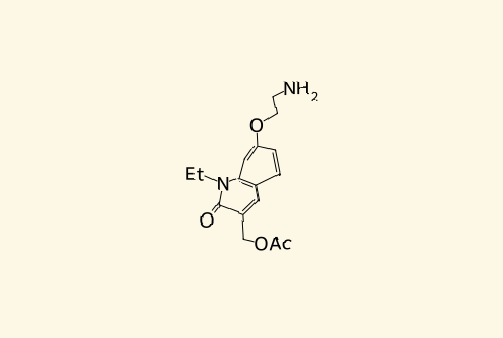 CCn1c(=O)c(COC(C)=O)cc2ccc(OCCN)cc21